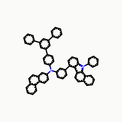 c1ccc(-c2cc(-c3ccccc3)cc(-c3ccc(N(c4cccc(-c5cccc6c5c5ccc7ccccc7c5n6-c5ccccc5)c4)c4ccc5c(ccc6ccccc65)c4)cc3)c2)cc1